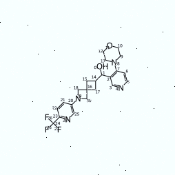 OC(c1cnccc1N1CCOCC1)C1CC2(C1)CN(c1ccc(C(F)(F)F)nc1)C2